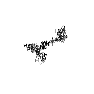 COc1cc(F)c(-c2cc(Cn3cnc4c(NCCCCCCNc5cccc6c5C(=O)N(C5CCC(=O)NC5=O)C6=O)ncnc43)c(N3CCC[C@](N)([C@H](O)C(F)F)C3)cn2)cc1F